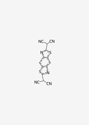 N#CC(C#N)c1nc2cc3sc(C(C#N)C#N)nc3cc2s1